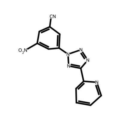 N#Cc1cc(-n2nnc(-c3ccccn3)n2)cc([N+](=O)[O-])c1